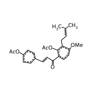 COc1ccc(C(=O)C=Cc2ccc(OC(C)=O)cc2)c(OC(C)=O)c1CC=C(C)C